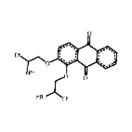 CCCCC(CC)COc1c(OCC(CC)CCC)ccc2c1C(=O)c1ccccc1C2=O